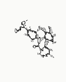 O=C(Oc1ccc([N+](=O)[O-])cc1)N1CN=CC=C1c1ccc(F)c(F)c1